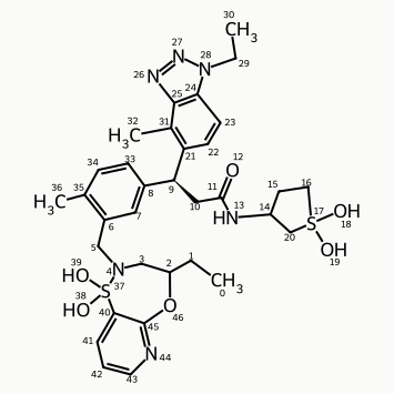 CCC1CN(Cc2cc([C@H](CC(=O)NC3CCS(O)(O)C3)c3ccc4c(nnn4CC)c3C)ccc2C)S(O)(O)c2cccnc2O1